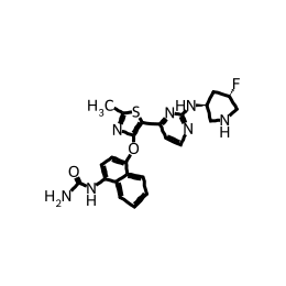 Cc1nc(Oc2ccc(NC(N)=O)c3ccccc23)c(-c2ccnc(N[C@@H]3CNC[C@@H](F)C3)n2)s1